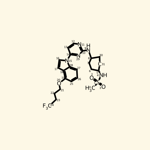 CS(=O)(=O)NC1CCC(Nc2nccc(-n3ccc4c(OCCCC(F)(F)F)cccc43)n2)CC1